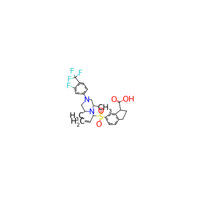 C=CC(N1C(C)CN(c2ccc(C(F)(F)F)c(F)c2)CC1C)S(=O)(=O)c1ccc2c(c1)C(C(=O)O)CC2